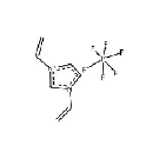 C=Cn1cc[n+](C=C)c1.F[P-](F)(F)(F)(F)F